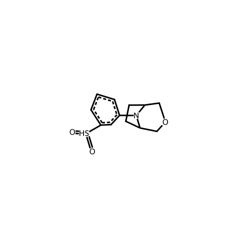 O=[SH](=O)c1cccc(N2C3CCC2COC3)c1